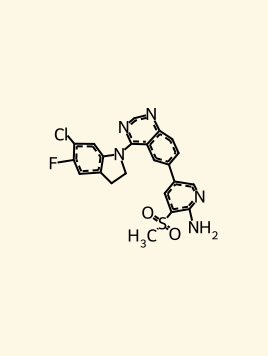 CS(=O)(=O)c1cc(-c2ccc3ncnc(N4CCc5cc(F)c(Cl)cc54)c3c2)cnc1N